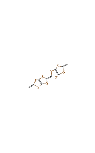 C=C1SC2=C(S1)SC(=C1SC3=C(SC(=C)S3)S1)S2